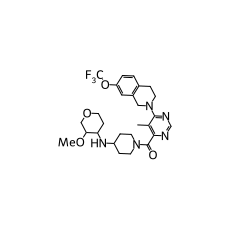 COC1COCCC1NC1CCN(C(=O)c2ncnc(N3CCc4ccc(OC(F)(F)F)cc4C3)c2C)CC1